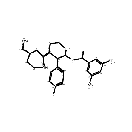 CC(OC1OCCC(C2CC(CO)CCN2)C1c1ccc(F)cc1)c1cc(C(F)(F)F)cc(C(F)(F)F)c1